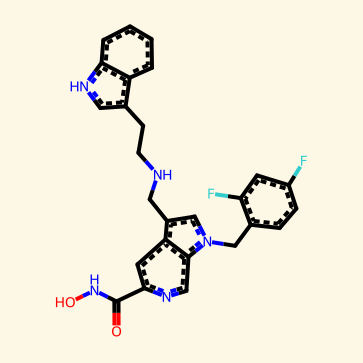 O=C(NO)c1cc2c(CNCCc3c[nH]c4ccccc34)cn(Cc3ccc(F)cc3F)c2cn1